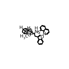 CC1(C)C2C[C@H]1C[C@H]1OB(C(Cc3coc4ccccc34)NSc3cccc4cccnc34)O[C@@]21C